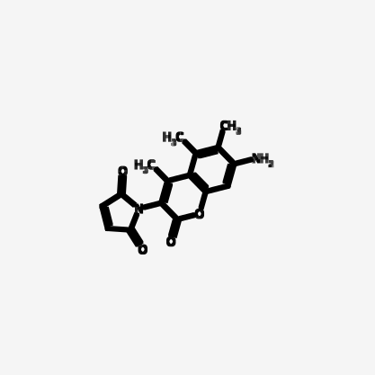 Cc1c(N)cc2oc(=O)c(N3C(=O)C=CC3=O)c(C)c2c1C